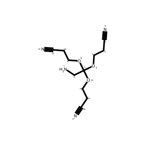 N#CCCOC(CN)(OCCC#N)OCCC#N